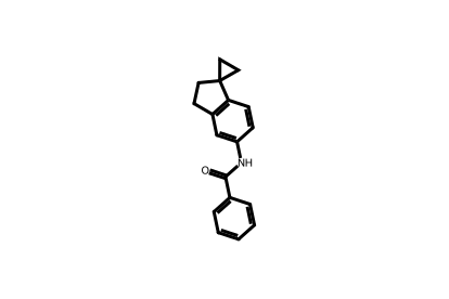 O=C(Nc1ccc2c(c1)CCC21CC1)c1ccccc1